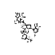 Cn1cc(C(=O)NC[C@H]2CN(S(=O)(=O)c3cccc(C(F)(F)F)c3)c3cc(-c4cc(F)cc(F)c4Cl)ccc3O2)c(C(F)(F)F)n1